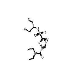 CCN(CC)C(=O)n1cnc(S(=O)(=O)OC(CF)CF)n1